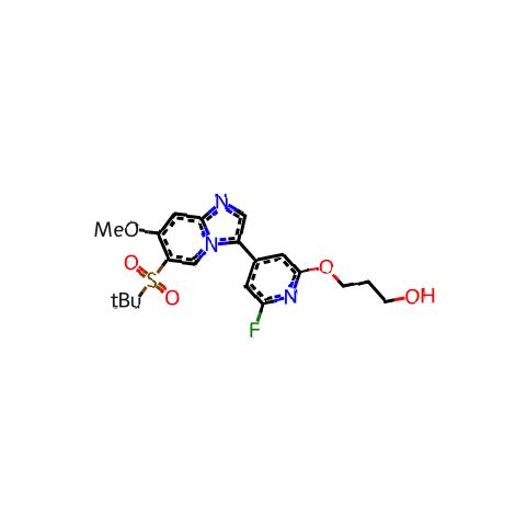 COc1cc2ncc(-c3cc(F)nc(OCCCO)c3)n2cc1S(=O)(=O)C(C)(C)C